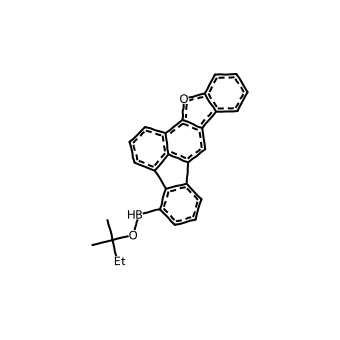 CCC(C)(C)OBc1cccc2c1-c1cccc3c1c-2cc1c2ccccc2oc31